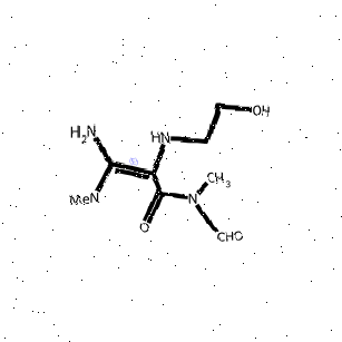 CN/C(N)=C(/NCCO)C(=O)N(C)C=O